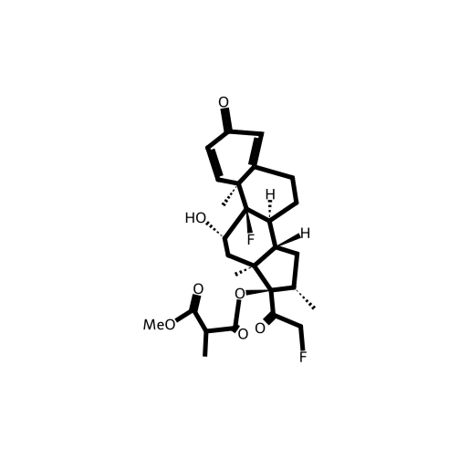 COC(=O)C(C)C(=O)O[C@]1(C(=O)CF)[C@@H](C)C[C@H]2[C@@H]3CCC4=CC(=O)C=C[C@]4(C)[C@@]3(F)[C@@H](O)C[C@@]21C